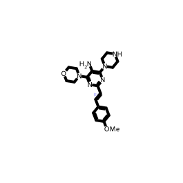 COc1ccc(/C=C/c2nc(N3CCNCC3)c(N)c(N3CCOCC3)n2)cc1